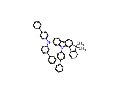 CC1(C)C2=C(C=CCC2)c2c1ccc1c3ccc(N(c4ccc(-c5ccccc5)cc4)c4cccc(-c5ccccc5)c4)cc3n(-c3ccc(-c4ccccc4)cc3)c21